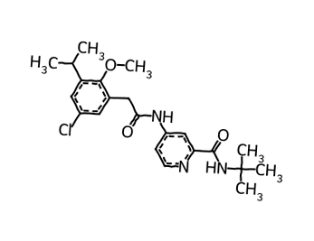 COc1c(CC(=O)Nc2ccnc(C(=O)NC(C)(C)C)c2)cc(Cl)cc1C(C)C